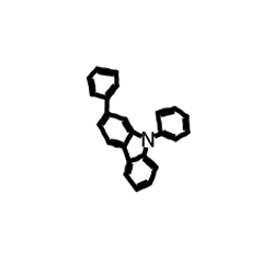 c1ccc(-c2ccc3c4ccccc4n(-c4ccccc4)c3c2)cc1